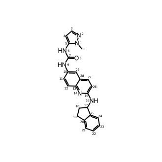 Cn1nccc1NC(=O)Nc1ccc2nc(NC3CCc4ccccc43)ccc2c1